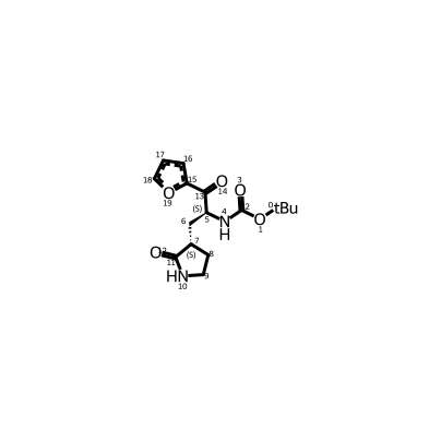 CC(C)(C)OC(=O)N[C@@H](C[C@@H]1CCNC1=O)C(=O)c1ccco1